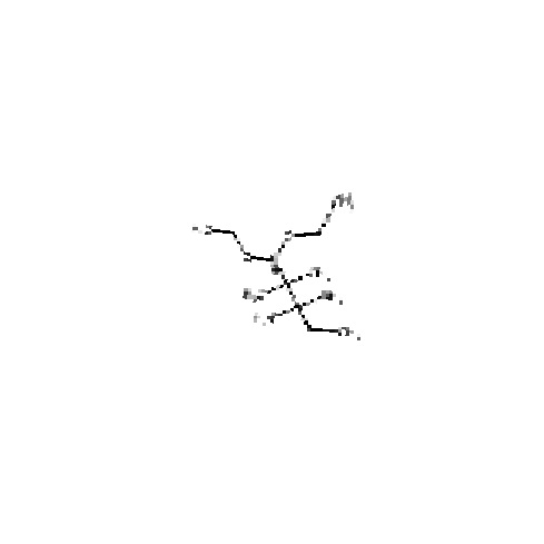 CCO[SiH](OCC)C(C)(C)C(N)(N)CC